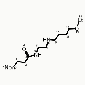 CCCCCCCCCCCC(=O)NCCNCCCCOCC